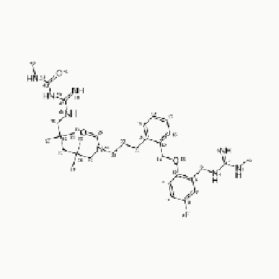 CNC(=N)NCc1cc(F)ccc1OCc1ccccc1CCCN(C=O)CC(C)(C)CC(C)(C)CNC(=N)NC(=O)NC